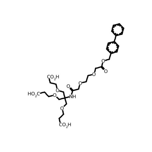 O=C(O)CCOCC(COCCC(=O)O)(COCCC(=O)O)NC(=O)COCCOCC(=O)OCc1ccc(-c2ccccc2)cc1